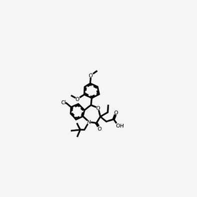 CCC1(CC(=O)O)OC(c2ccc(OC)cc2OC)c2cc(Cl)ccc2N(CC(C)(C)C)C1=O